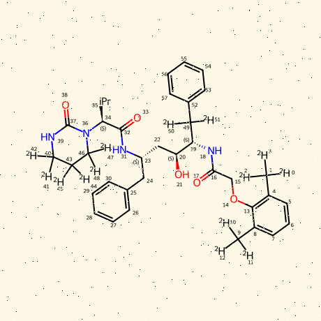 [2H]C([2H])([2H])c1cccc(C([2H])([2H])[2H])c1OCC(=O)N[C@H]([C@@H](O)C[C@H](Cc1ccccc1)NC(=O)[C@H](C(C)C)N1C(=O)NC([2H])([2H])C([2H])([2H])C1([2H])[2H])C([2H])([2H])c1ccccc1